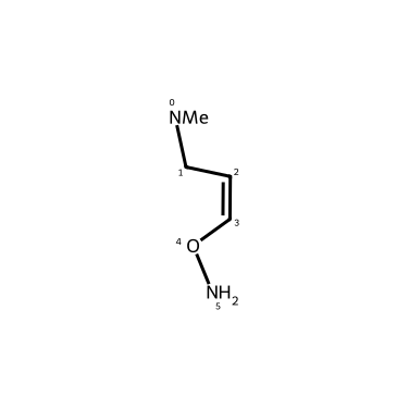 CNC/C=C\ON